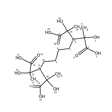 CC(O)(C(=O)O)N(CCCCN(C(C)(O)C(=O)O)C(C)(O)C(=O)O)C(C)(O)C(=O)O